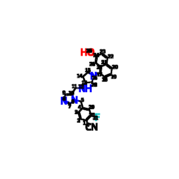 N#Cc1ccc(Cn2cncc2CNC2CCN(c3cccc4ccc(O)cc34)C2)cc1F